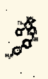 CC[C@@H]1c2nncn2-c2cnc(Nc3ccc(N4CCN(C)CC4)cc3)nc2N1C1CCCC1